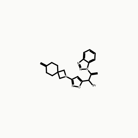 C=C1CCC2(CC1)CN(c1cc(C(C(=C)n3nnc4ccccc43)C(C)C)on1)C2